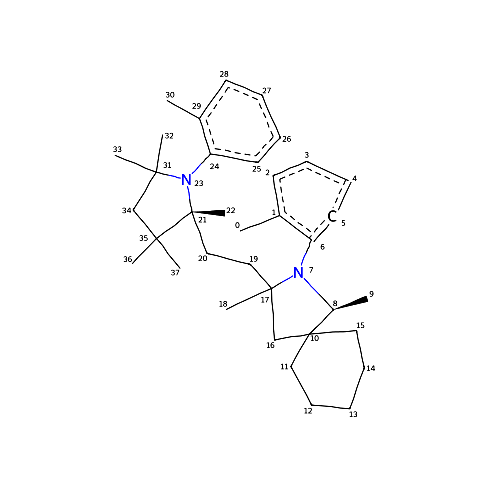 Cc1ccccc1N1[C@@H](C)C2(CCCCC2)CC1(C)CC[C@@]1(C)N(c2ccccc2C)C(C)(C)CC1(C)C